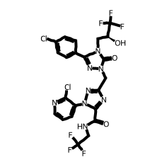 O=C(NCC(F)(F)F)c1nc(Cn2nc(-c3ccc(Cl)cc3)n(C[C@H](O)C(F)(F)F)c2=O)nn1-c1cccnc1Cl